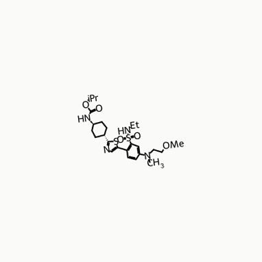 CCNS(=O)(=O)c1cc(N(C)CCOC)ccc1-c1cnc([C@H]2CC[C@H](NC(=O)OC(C)C)CC2)s1